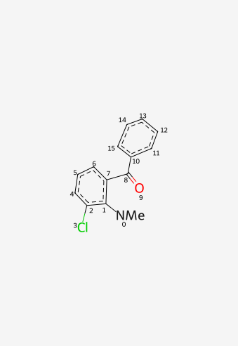 CNc1c(Cl)cccc1C(=O)c1ccccc1